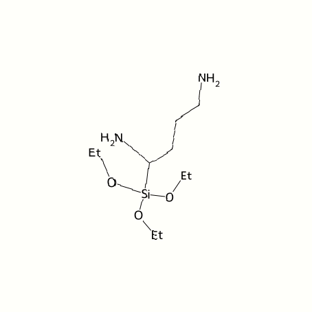 CCO[Si](OCC)(OCC)C(N)CCCN